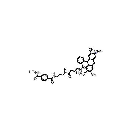 CCCc1cc2c(cc1C)C(c1ccccc1C(=O)N(C)CCCC(=O)NCCCNC(=O)c1ccc(C(=O)NO)cc1)C1C=C(C)/C(=N/CC)C=C1C2